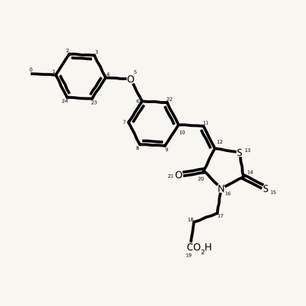 Cc1ccc(Oc2cccc(/C=C3/SC(=S)N(CCC(=O)O)C3=O)c2)cc1